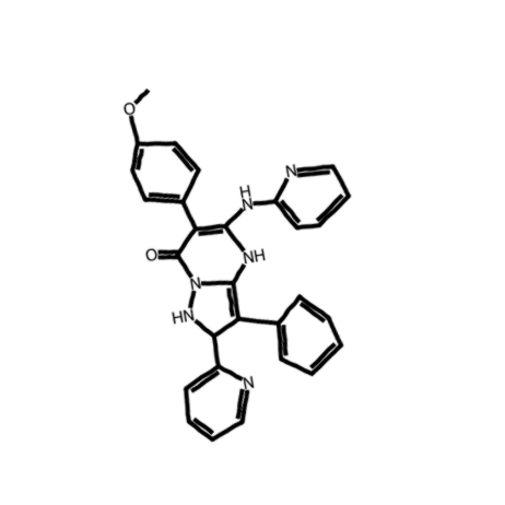 COc1ccc(C2=C(Nc3ccccn3)NC3=C(c4ccccc4)C(c4ccccn4)NN3C2=O)cc1